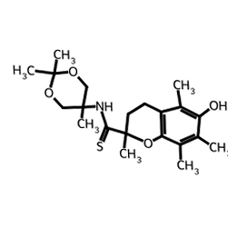 Cc1c(C)c2c(c(C)c1O)CCC(C)(C(=S)NC1(C)COC(C)(C)OC1)O2